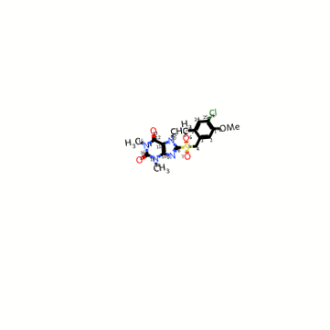 COc1cc(CS(=O)(=O)c2nc3c(c(=O)n(C)c(=O)n3C)n2C)c(C)cc1Cl